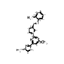 Cc1cc(-c2ncn(C)n2)nc(N2CCC(COc3ccccc3C)C2)n1